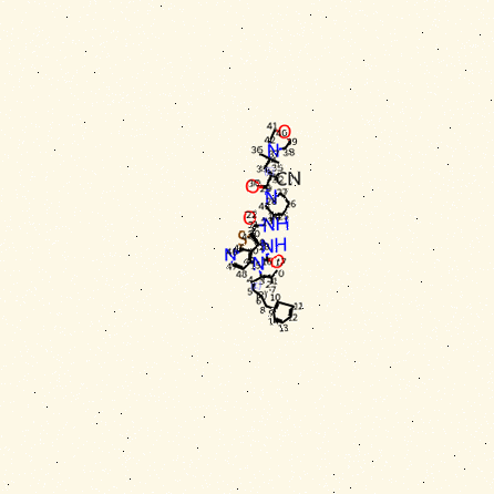 CC(C)=C(/C=C\[C@H](C)Cc1ccccc1)N1C(=O)Nc2c(C(=O)N[C@@H]3CCCN(C(=O)/C(C#N)=C/C(C)(C)N4CCOCC4)C3)sc3nccc1c23